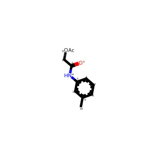 CC(=O)OCC(=O)Nc1cccc(C)c1